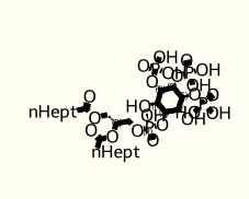 CCCCCCCC(=O)OC[C@H](CO[P@@](=O)(O)O[C@H]1[C@@H](O)[C@@H](OP(=O)(O)O)[C@H](OP(=O)(O)O)[C@@H](OP(=O)(O)O)[C@@H]1O)OC(=O)CCCCCCC